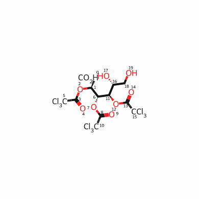 O=C(O)[C@H](OC(=O)C(Cl)(Cl)Cl)[C@@H](OC(=O)C(Cl)(Cl)Cl)[C@H](OC(=O)C(Cl)(Cl)Cl)[C@H](O)CO